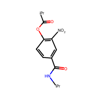 CC(C)NC(=O)c1ccc(OC(=O)C(C)C)c([N+](=O)[O-])c1